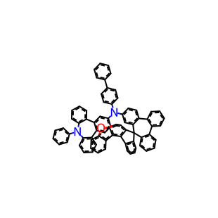 c1ccc(-c2ccc(N(c3ccc4c(c3)-c3ccccc3N(c3ccccc3)c3ccccc3-4)c3ccc4c(c3)C3(c5ccccc5-c5ccccc5-4)c4ccccc4-c4c3ccc3oc5ccccc5c43)cc2)cc1